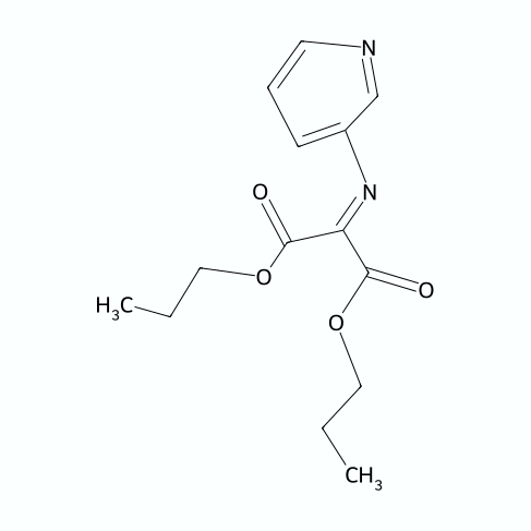 CCCOC(=O)C(=Nc1cccnc1)C(=O)OCCC